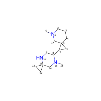 CN1CCCC2(CC2C2CNC3(CC3)CN2C)C1